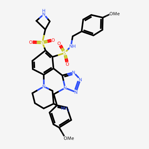 COc1ccc(CNS(=O)(=O)c2c(S(=O)(=O)C3CNC3)ccc(N3CCCC(N)C3)c2-c2nnnn2Cc2ccc(OC)cc2)cc1